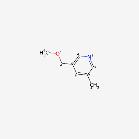 COCc1cncc(C)c1